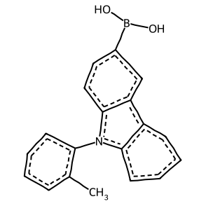 Cc1ccccc1-n1c2ccccc2c2cc(B(O)O)ccc21